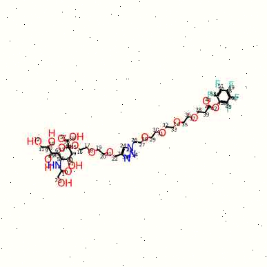 O=C(CO)N[C@H]1[C@H]([C@H](O)[C@H](O)CO)O[C@](OCCOCCOCc2cn(CCOCCOCCOCCOCCC(=O)Oc3c(F)c(F)c(F)c(F)c3F)nn2)(C(=O)O)C[C@@H]1O